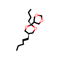 CCC/C=C/[C@H]1CO[C@](CCCC)(C2COCOC2)OC1